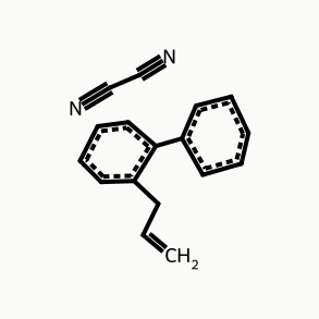 C=CCc1ccccc1-c1ccccc1.N#CC#N